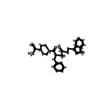 N=C(N)N1CCN(C(=O)C(Cc2ccccc2)NC(=O)CCc2c[nH]c3ccccc23)CC1